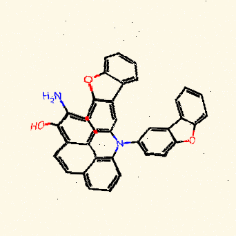 Nc1ccc2c(ccc3cccc(N(c4ccc5oc6ccccc6c5c4)c4ccc5oc6ccccc6c5c4)c32)c1O